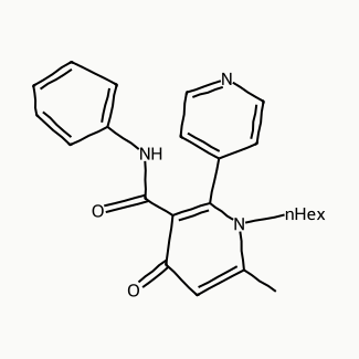 CCCCCCn1c(C)cc(=O)c(C(=O)Nc2ccccc2)c1-c1ccncc1